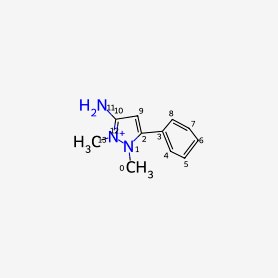 Cn1c(-c2ccccc2)cc(N)[n+]1C